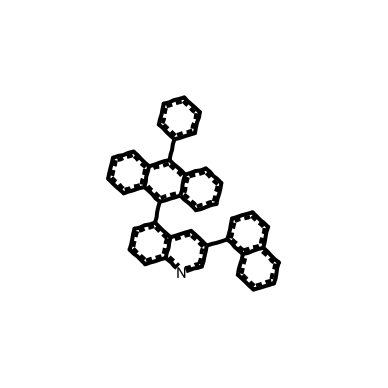 c1ccc(-c2c3ccccc3c(-c3cccc4ncc(-c5cccc6ccccc56)cc34)c3ccccc23)cc1